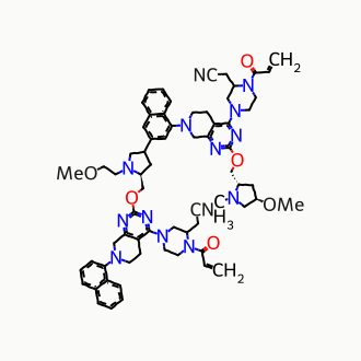 C=CC(=O)N1CCN(c2nc(OC[C@@H]3C[C@@H](OC)CN3C)nc3c2CCN(c2cc(C4C[C@@H](COc5nc6c(c(N7CCN(C(=O)C=C)C(CC#N)C7)n5)CCN(c5cccc7ccccc57)C6)N(CCOC)C4)cc4ccccc24)C3)CC1CC#N